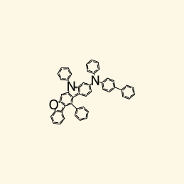 c1ccc(-c2ccc(N(c3ccccc3)c3ccc4c5c(-c6ccccc6)c6c(cc5n(-c5ccccc5)c4c3)oc3ccccc36)cc2)cc1